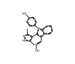 Cc1n[nH]c(C)c1-c1c(/C=N/O)c2ccccc2n1-c1ccc(O)cc1